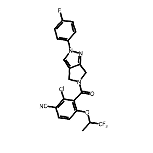 CC(Oc1ccc(C#N)c(Cl)c1C(=O)N1Cc2cn(-c3ccc(F)cc3)nc2C1)C(F)(F)F